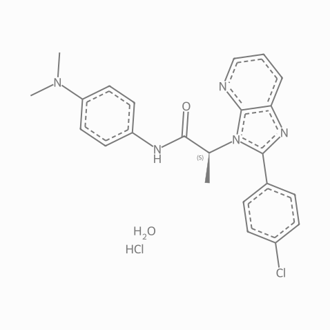 C[C@@H](C(=O)Nc1ccc(N(C)C)cc1)n1c(-c2ccc(Cl)cc2)nc2cccnc21.Cl.O